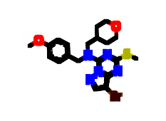 COc1ccc(CN(CC2CCOCC2)c2nc(SC)nc3c(Br)cnn23)cc1